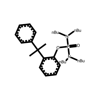 CCCCN(CCCC)P(=O)(Oc1ccccc1C(C)(C)c1ccccc1)N(CCCC)CCCC